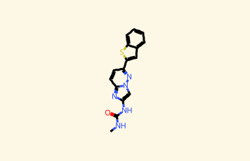 CNC(=O)Nc1cn2nc(-c3cc4ccccc4s3)ccc2n1